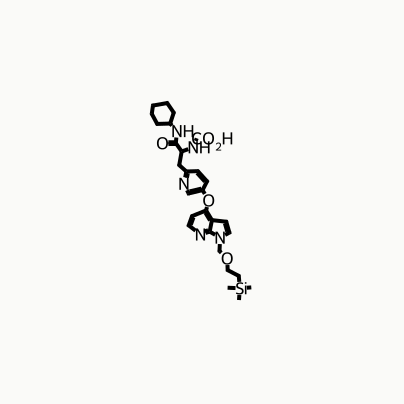 C[Si](C)(C)CCOCn1ccc2c(Oc3ccc(CC(NC(=O)O)C(=O)NC4CCCCC4)nc3)ccnc21